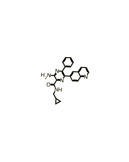 Nc1nc(-c2ccccc2)c(-c2ccc3ncccc3c2)nc1C(=O)NCC1CC1